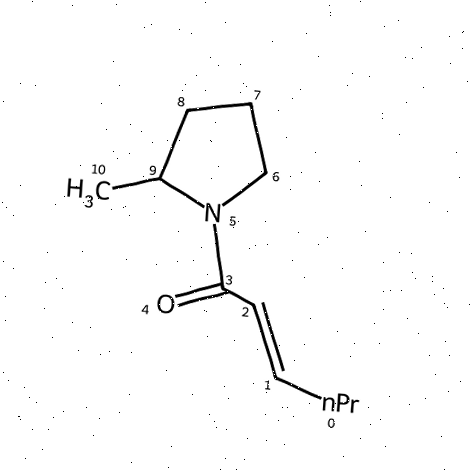 CCC/C=C/C(=O)N1CCCC1C